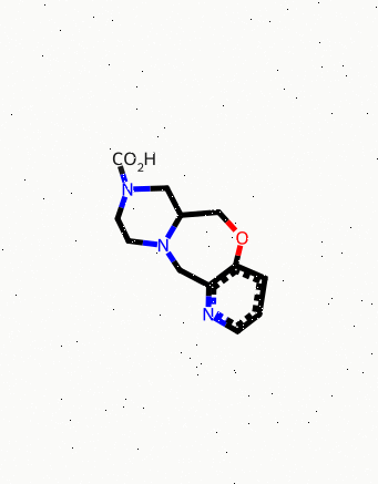 O=C(O)N1CCN2Cc3ncccc3OCC2C1